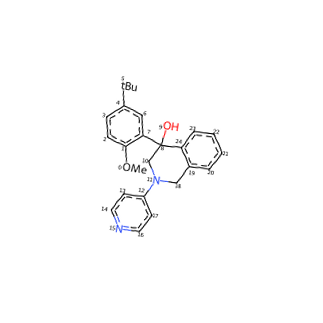 COc1ccc(C(C)(C)C)cc1C1(O)CN(c2ccncc2)Cc2ccccc21